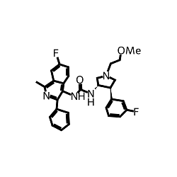 COCCN1C[C@@H](NC(=O)Nc2c(-c3ccccc3)nc(C)c3cc(F)ccc23)[C@H](c2cccc(F)c2)C1